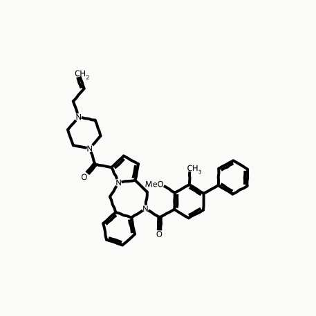 C=CCN1CCN(C(=O)c2ccc3n2Cc2ccccc2N(C(=O)c2ccc(-c4ccccc4)c(C)c2OC)C3)CC1